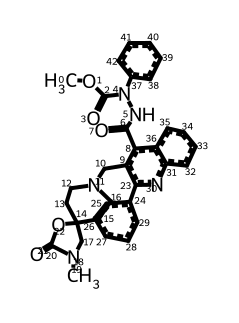 COC(=O)N(NC(=O)c1c(CN2CCC3(CC2)CN(C)C(=O)O3)c(-c2ccccc2)nc2ccccc12)c1ccccc1